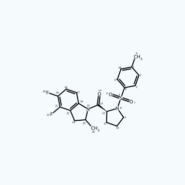 Cc1ccc(S(=O)(=O)N2CCC[C@H]2C(=O)N2c3ccc(F)c(F)c3CC2C)cc1